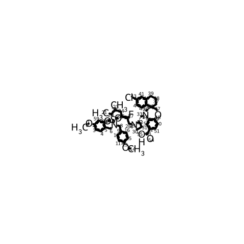 COc1ccc(CN(Cc2ccc(OC)cc2)S(=O)(=O)C(C)C(C)CC=C(F)CN2CC[C@H]2CN2C[C@@]3(CCCc4cc(Cl)ccc43)COc3ccc(C(=O)O)cc32)cc1